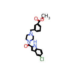 COC(=O)c1cccc(CN2CCN(C(=O)c3cc4cc(Cl)ccc4[nH]3)CC2)c1